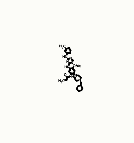 C=CC(=O)Nc1cc(Nc2ncnc(Nc3cccc(C)c3)n2)c(OC)cc1N1CCN(CC2CCCCC2)CC1